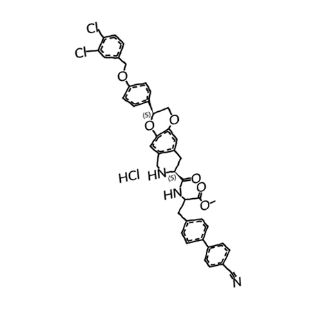 COC(=O)C(Cc1ccc(-c2ccc(C#N)cc2)cc1)NC(=O)[C@@H]1Cc2cc3c(cc2CN1)O[C@@H](c1ccc(OCc2ccc(Cl)c(Cl)c2)cc1)CO3.Cl